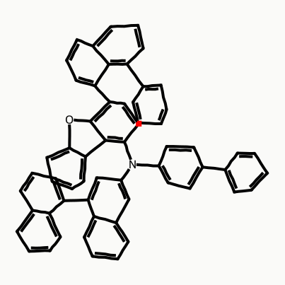 c1ccc(-c2ccc(N(c3cc(-c4cccc5ccccc45)c4ccccc4c3)c3ccc(-c4cccc5cccc(-c6ccccc6)c45)c4oc5ccccc5c34)cc2)cc1